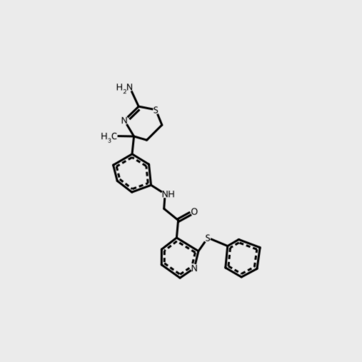 CC1(c2cccc(NCC(=O)c3cccnc3Sc3ccccc3)c2)CCSC(N)=N1